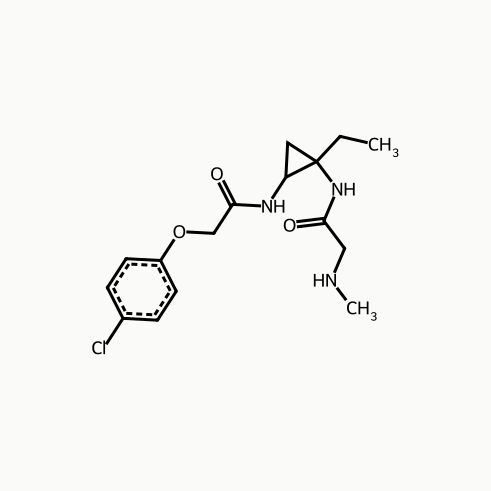 CCC1(NC(=O)CNC)CC1NC(=O)COc1ccc(Cl)cc1